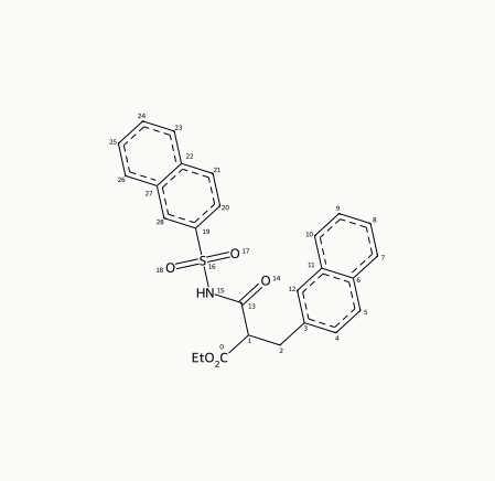 CCOC(=O)C(Cc1ccc2ccccc2c1)C(=O)NS(=O)(=O)c1ccc2ccccc2c1